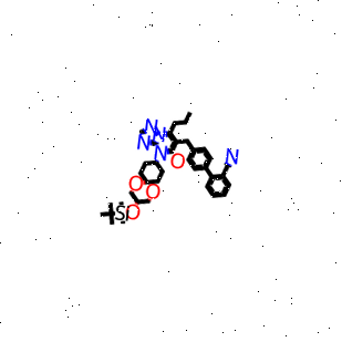 CCCc1c(Cc2ccc(-c3ccccc3C#N)cc2)c(=O)n(C2CCC3(CC2)OCC(O[Si](C)(C)C(C)(C)C)CO3)c2ncnn12